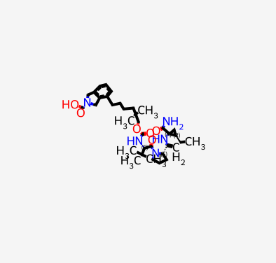 C=C(N[C@]1(C(N)=O)C[C@H]1CC)[C@@H]1CCCN1C(=O)[C@@H](NC(=O)OCC(C)(C)CCCCc1cccc2c1CN(C(=O)O)C2)C(C)(C)C